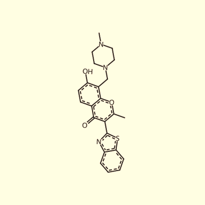 Cc1oc2c(CN3CCN(C)CC3)c(O)ccc2c(=O)c1-c1nc2ccccc2s1